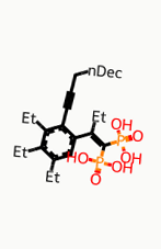 CCCCCCCCCCCC#Cc1c(C(CC)=C(P(=O)(O)O)P(=O)(O)O)cc(CC)c(CC)c1CC